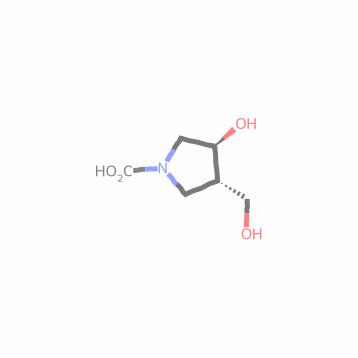 O=C(O)N1C[C@@H](CO)[C@H](O)C1